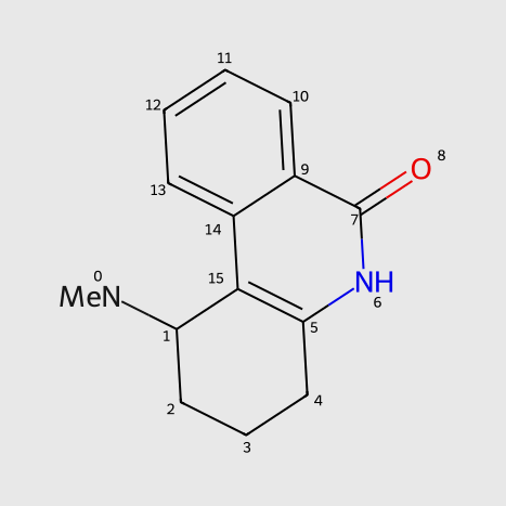 CNC1CCCc2[nH]c(=O)c3ccccc3c21